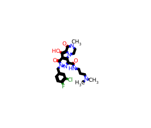 CN(C)CCCNC(=O)c1nn(Cc2ccc(F)c(Cl)c2)c(=O)c2c(O)c3n(c12)CCN(C)C3=O